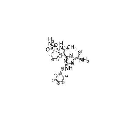 Cc1[nH]c2c(S(N)(=O)=O)cccc2c1-c1nc(NCc2ccccc2)nc(C(N)=O)n1